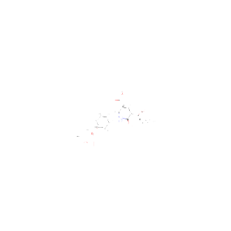 CCCCOC(=O)c1cc(C(=O)NC)c(=O)n(Cc2cccc(OC[C@H](C)O)c2)c1